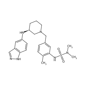 Cc1ccc(CN2CCC[C@H](Nc3ccc4[nH]ncc4c3)C2)cc1NS(=O)(=O)N(C)C